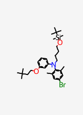 Cc1cc(Br)cc(C)c1N(CCCCO[Si](C)(C)C(C)(C)C)c1cccc(OCCC(C)(C)C)c1